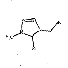 CC(C)CN1C=NN(C)C1Br